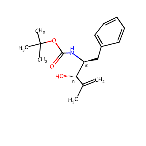 C=C(C)[C@H](O)[C@H](Cc1ccccc1)NC(=O)OC(C)(C)C